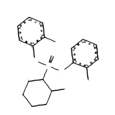 O=P(Oc1ccccc1F)(Oc1ccccc1F)C1CCCCC1F